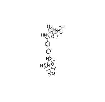 COC(=O)N[C@@H](C(=O)N1[C@@H]2C[C@@H]2C[C@H]1c1nc(-c2ccc(-c3ccc(-c4c[nH]c([C@@H]5C[C@H]6C[C@H]6N5C(=O)[C@H](NC(=O)O)C(C)C)n4)cc3)cc2)c[nH]1)C(C)C